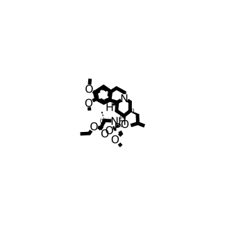 CCOC(=O)[C@H](C)NP(=O)(COC)O[C@@H]1C[C@@H]2c3cc(OC)c(OC)cc3CCN2C[C@H]1CC(C)C